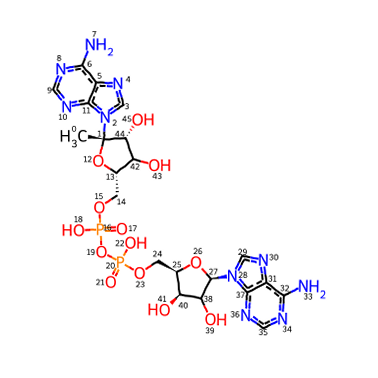 C[C@]1(n2cnc3c(N)ncnc32)O[C@@H](COP(=O)(O)OP(=O)(O)OC[C@H]2O[C@@H](n3cnc4c(N)ncnc43)C(O)[C@H]2O)C(O)[C@H]1O